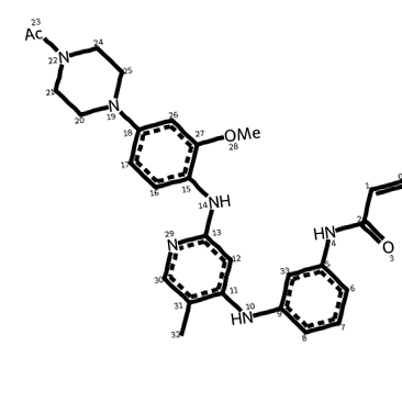 C=CC(=O)Nc1cccc(Nc2cc(Nc3ccc(N4CCN(C(C)=O)CC4)cc3OC)ncc2C)c1